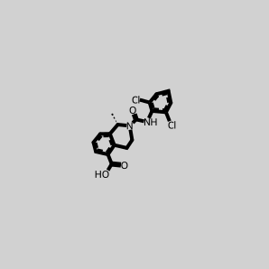 C[C@H]1c2cccc(C(=O)O)c2CCN1C(=O)Nc1c(Cl)cccc1Cl